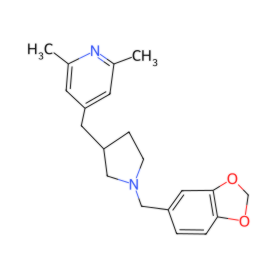 Cc1cc(CC2CCN(Cc3ccc4c(c3)OCO4)C2)cc(C)n1